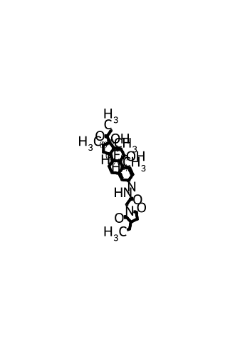 CCC(=O)[C@@]1(O)[C@H](C)C[C@H]2[C@@H]3CCC4=CC(=NNC(=O)CN5C(=O)CC(CC)C5=O)C=C[C@]4(C)[C@@]3(F)[C@@H](O)C[C@@]21C